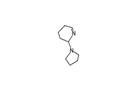 C1=NC(N2CCCC2)CCC1